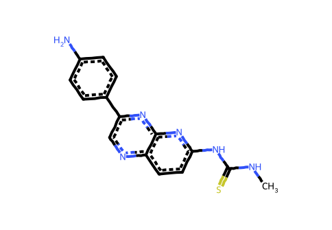 CNC(=S)Nc1ccc2ncc(-c3ccc(N)cc3)nc2n1